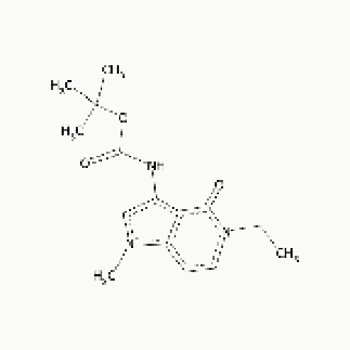 CCn1ccc2c(c(NC(=O)OC(C)(C)C)cn2C)c1=O